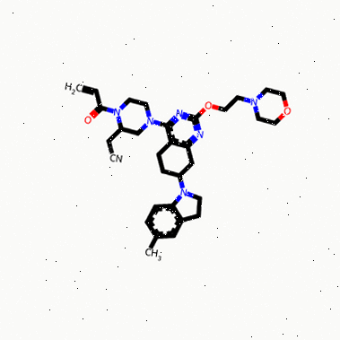 C=CC(=O)N1CCN(c2nc(OCCN3CCOCC3)nc3c2CCC(N2CCc4cc(C)ccc42)C3)CC1CC#N